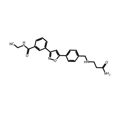 N#CCNC(=O)c1cccc(-c2cc(-c3ccc(CNCCC(N)=O)cc3)on2)c1